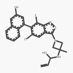 C=CC(O)NC1(C)CN(c2snc3c(F)c(-c4cc(O)cc5ccccc45)c(Cl)cc23)C1